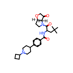 CC(C)(C)CC(NC(=O)c1ccc(C2CCN(C3CCC3)CC2)cc1)C(=O)N1CC[C@H]2OCC(=O)[C@H]21